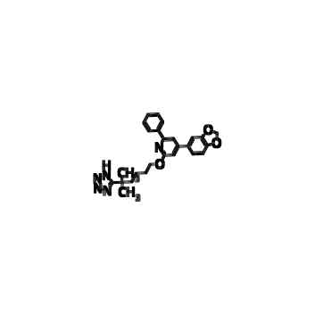 CC(C)(CCCCOc1cc(-c2ccc3c(c2)OCO3)cc(-c2ccccc2)n1)c1nnn[nH]1